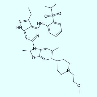 CCc1n[nH]c2nc(N3c4cc(C)c(C5CCN(CCOC)CC5)cc4OC3C)nc(Nc3ccccc3S(=O)(=O)C(C)C)c12